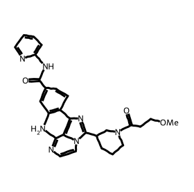 COCCC(=O)N1CCCC(c2nc(-c3ccc(C(=O)Nc4ccccn4)cc3C)c3c(N)nccn23)C1